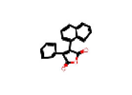 O=C1OC(=O)C(c2cccc3ccccc23)=C1c1ccccc1